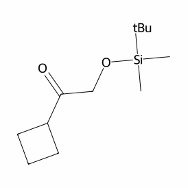 CC(C)(C)[Si](C)(C)OCC(=O)C1CCC1